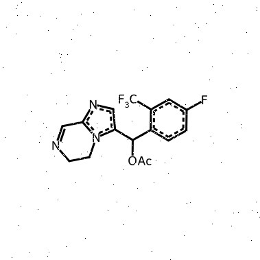 CC(=O)OC(c1ccc(F)cc1C(F)(F)F)c1cnc2n1CCN=C2